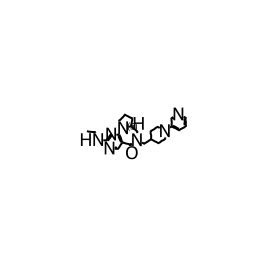 CCNc1ncc2c(n1)N1CCC[C@H]1CN(CC1CCN(c3cccnc3)CC1)C2=O